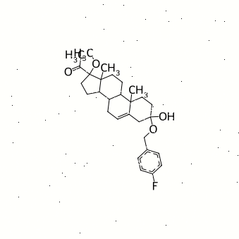 COC1(C(C)=O)CCC2C3CC=C4CC(O)(OCc5ccc(F)cc5)CCC4(C)C3CCC21C